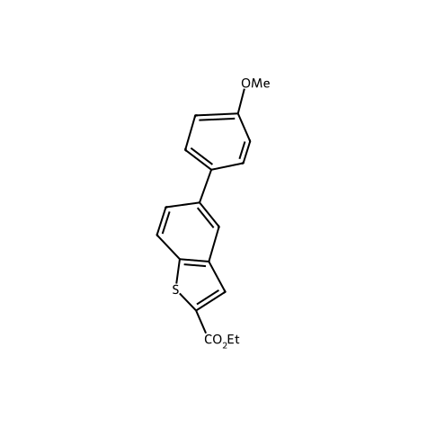 CCOC(=O)c1cc2cc(-c3ccc(OC)cc3)ccc2s1